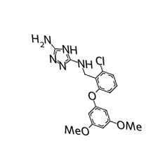 COc1cc(OC)cc(Oc2cccc(Cl)c2CNc2nnc(N)[nH]2)c1